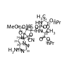 CCCOC(=O)[C@H](C)NP(=O)(N[C@@H](C)C(=O)OCCC)OC[C@@]1(F)O[C@@](C#N)(c2ccc3c(N)ncnn23)[C@@H]2OC(OC)O[C@@H]21